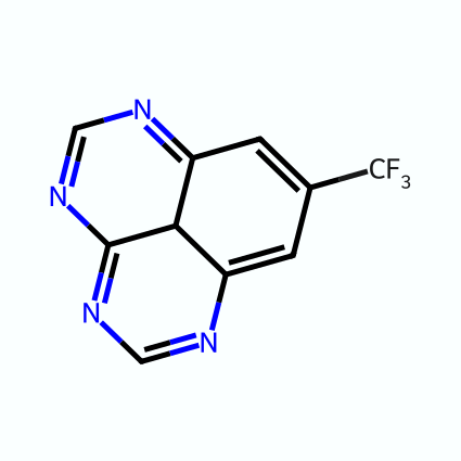 FC(F)(F)C1=CC2=NC=NC3=NC=NC(=C1)C23